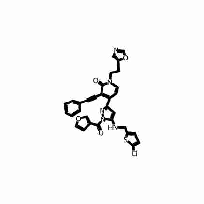 O=C(c1ccoc1)n1nc(-c2ccn(CCc3cnco3)c(=O)c2C#Cc2ccccc2)cc1NCc1ccc(Cl)s1